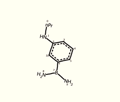 CCCNc1cccc(B(N)N)c1